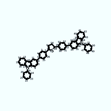 C1=C(c2ccc(-c3ccc4c(c3)c3ccccc3n4-c3ccccc3)cc2)SC(c2ccc(-c3ccc4c(c3)c3ccccc3n4-c3ccccc3)cc2)C1